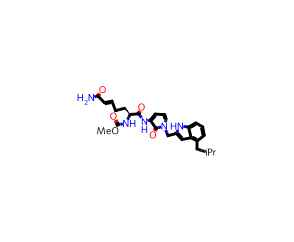 COC(=O)N[C@@H](CC/C=C/C(N)=O)C(=O)Nc1cccn(Cc2cc3c(CC(C)C)cccc3[nH]2)c1=O